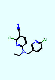 CCN(Cc1ccc(Cl)nc1)c1ccc(C#N)c(Cl)n1